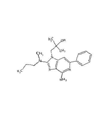 CCCN(C)c1nc2c(N)nc(-c3ccccc3)cc2n1CC(C)(C)O